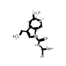 C=CC1=C[SH](C(=O)NC(CC)CCCC)c2cnc(C(=O)O)cc21